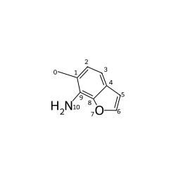 Cc1ccc2ccoc2c1N